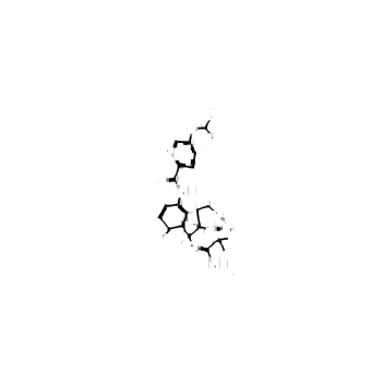 CC1(C)C(N)=N[C@](C)(C2C=C(NC(=O)c3ccc(OC(F)F)cn3)C=CC2F)[C@@H]2CCN=[S@@]21=O